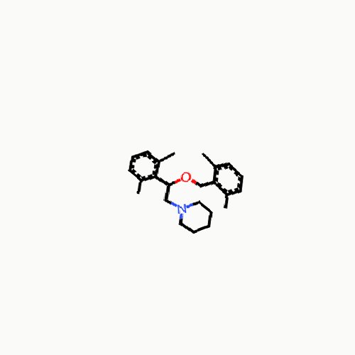 Cc1cccc(C)c1COC(CN1CCCCC1)c1c(C)cccc1C